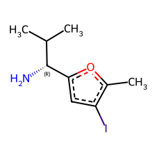 Cc1oc([C@H](N)C(C)C)cc1I